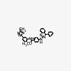 Cc1ccc(-c2nnn(C)n2)cc1NC(=O)c1ccc(Nc2nc(-c3ccccc3)c3ccccc3n2)cc1